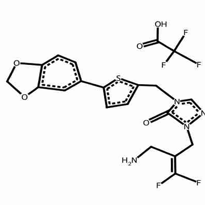 NCC(Cn1ncn(Cc2ccc(-c3ccc4c(c3)OCO4)s2)c1=O)=C(F)F.O=C(O)C(F)(F)F